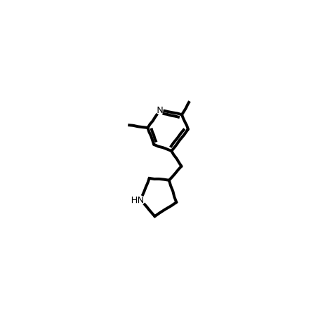 Cc1cc(CC2CCNC2)cc(C)n1